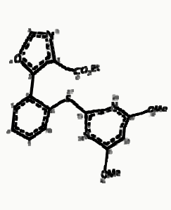 CCOC(=O)c1ncoc1-c1ccccc1Sc1nc(OC)cc(OC)n1